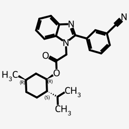 CC(C)[C@@H]1CC[C@@H](C)C[C@H]1OC(=O)Cn1c(-c2cccc(C#N)c2)nc2ccccc21